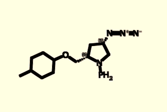 CC1CCC(OC[C@@H]2C[C@H](N=[N+]=[N-])CN2P)CC1